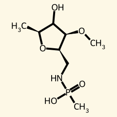 CO[C@@H]1C(O)[C@H](C)O[C@@H]1CNP(C)(=O)O